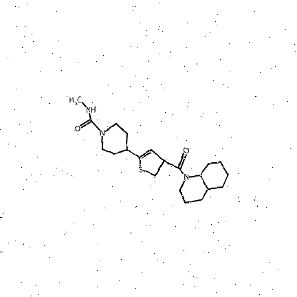 CNC(=O)N1CCC(C2=CC(C(=O)N3CCCC4CCCCC43)CS2)CC1